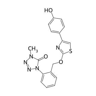 Cn1nnn(-c2ccccc2COc2nc(-c3ccc(O)cc3)cs2)c1=O